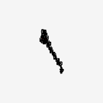 CC(C)[C@]12O[C@H]1[C@@H]1O[C@]13[C@]1(O[C@H]1C[C@H]1C4=C(CC[C@@]13C)C(=O)OC4)[C@@H]2OC(=O)CCC(=O)OCCOCCOCCOCCOCCOCCOC(=O)CCCCC1CCSS1